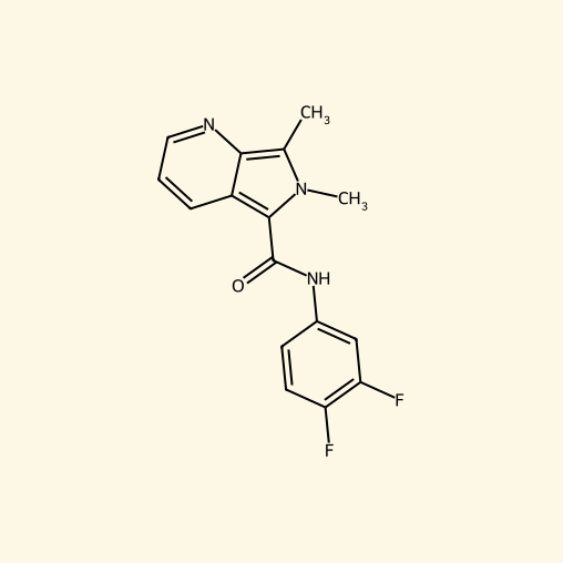 Cc1c2ncccc2c(C(=O)Nc2ccc(F)c(F)c2)n1C